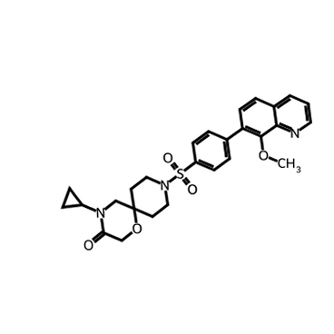 COc1c(-c2ccc(S(=O)(=O)N3CCC4(CC3)CN(C3CC3)C(=O)CO4)cc2)ccc2cccnc12